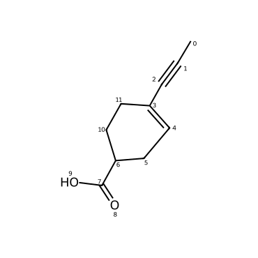 CC#CC1=CCC(C(=O)O)CC1